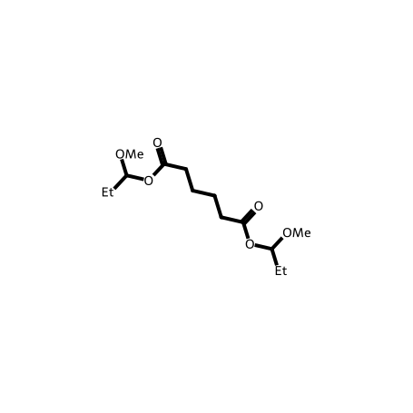 CCC(OC)OC(=O)CCCCC(=O)OC(CC)OC